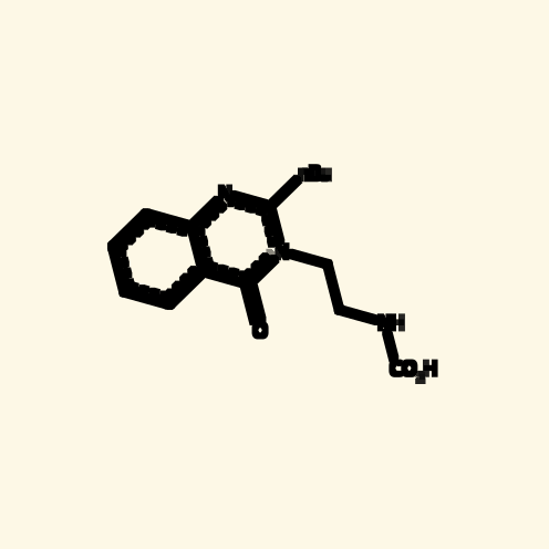 CCCCc1nc2ccccc2c(=O)n1CCNC(=O)O